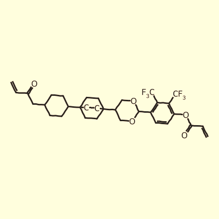 C=CC(=O)CC1CCC(C23CCC(C4COC(c5ccc(OC(=O)C=C)c(C(F)(F)F)c5C(F)(F)F)OC4)(CC2)CC3)CC1